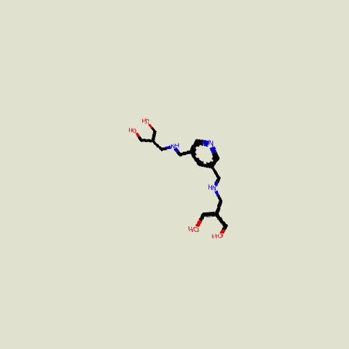 OCC(CO)CNCc1cncc(CNCC(CO)CO)c1